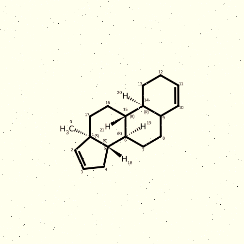 C[C@@]12C=CC[C@H]1[C@@H]1CCC3C=CCC[C@@H]3[C@H]1CC2